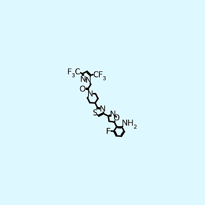 Nc1cccc(F)c1C1CC(c2csc(C3CCN(C(=O)Cn4nc(C(F)(F)F)cc4C(F)(F)F)CC3)n2)=NO1